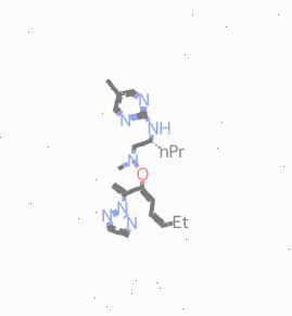 C=C(/C(=C\C=C/CC)ON(C)C[C@@H](CCC)Nc1ncc(C)cn1)n1nccn1